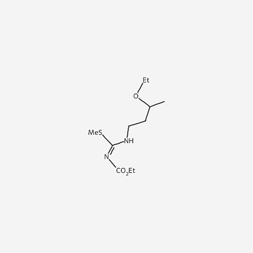 CCOC(=O)N=C(NCCC(C)OCC)SC